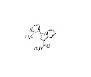 Cc1ncccc1-c1cc(C(N)=O)c2ccccn12